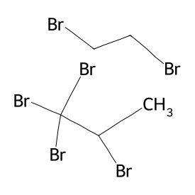 BrCCBr.CC(Br)C(Br)(Br)Br